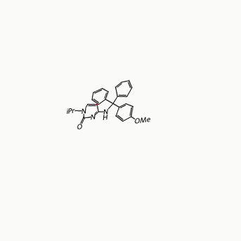 COc1ccc(C(Nc2ccn(C(C)C)c(=O)n2)(c2ccccc2)c2ccccc2)cc1